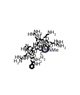 C=C1/C=C\C=C/CN/C=C\1C[C@H](NC(=O)[C@H](CCCNC(=N)N)NC(=O)[C@H](CCCCN)NC(=O)[C@H](CCCNC(=N)N)NC(=O)[C@@H](NC)[C@@H](C)CC)C(=O)N[C@@H](Cc1c[nH]cn1)C(=O)N[C@@H](CCCNC(=N)N)C(=O)N[C@@H](Cc1c[nH]c2ccccc12)C(N)=O